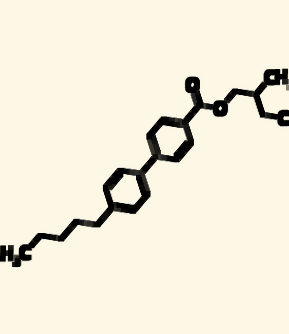 CCCCCc1ccc(-c2ccc(C(=O)OCC(C)CC)cc2)cc1